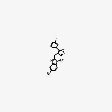 CCn1c(Cc2cnoc2-c2cccc(F)c2)nc2cc(Br)ccc21